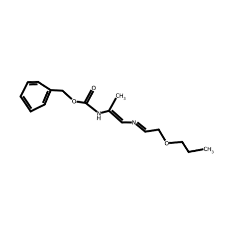 CCCOC/C=N/C=C(\C)NC(=O)OCc1ccccc1